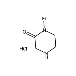 CCN1CCNCC1=O.Cl